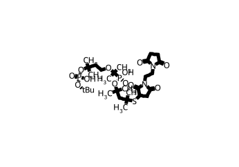 CC(C)(C)OP(=O)(O)OC(C)(C)CCOC(C)(C)P(=O)(O)OC(C)(C)CC(C)(C)SC1CC(=O)N(CCN2C(=O)CCC2=O)C1=O